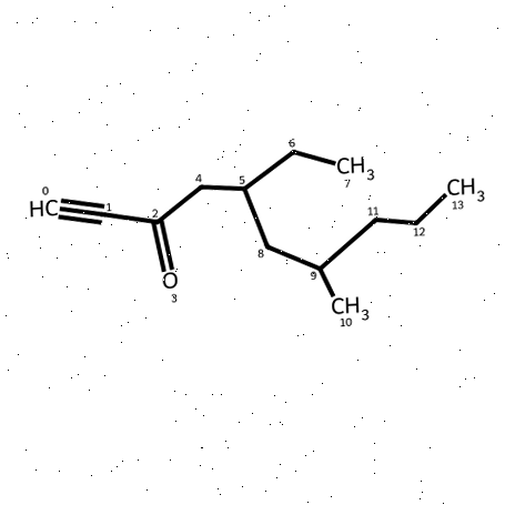 C#CC(=O)CC(CC)CC(C)CCC